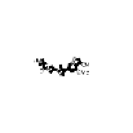 COc1cc(-c2cnn(C3CN(C(=O)C4(F)CNC4)C3)c2C)cn2ncc(C#N)c12